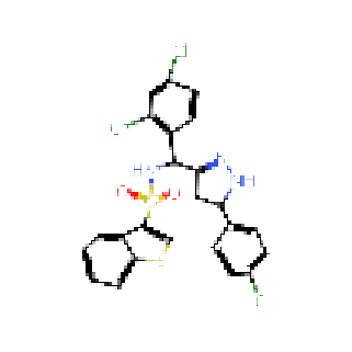 O=S(=O)(NC(C1=NNC(c2ccc(Cl)cc2)C1)c1ccc(Cl)cc1Cl)c1csc2ccccc12